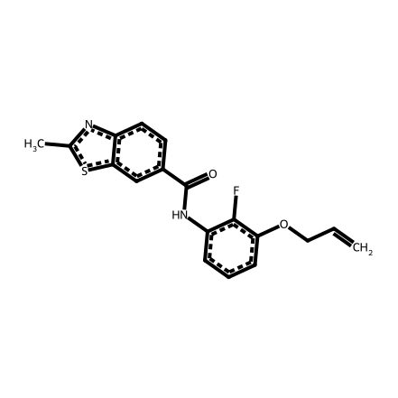 C=CCOc1cccc(NC(=O)c2ccc3nc(C)sc3c2)c1F